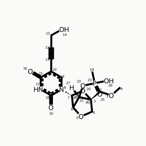 COC[C@]12COC([C@H](n3cc(C#CCO)c(=O)[nH]c3=O)O1)[C@@H]2OP(C)(=O)O